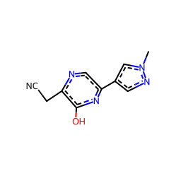 Cn1cc(-c2cnc(CC#N)c(O)n2)cn1